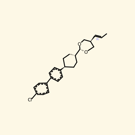 C/C=C/[C@H]1CO[C@H]([C@H]2CC[C@H](c3ccc(-c4ccc(Cl)cc4)cc3)CC2)OC1